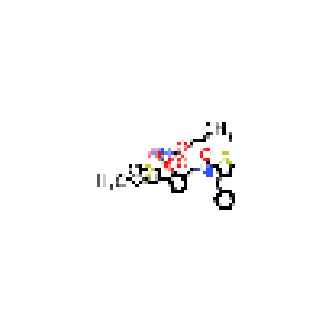 CCCCOC(=O)NS(=O)(=O)c1sc(CC(C)C)cc1-c1cccc(CNC(=O)c2sccc2Cc2ccccc2)c1